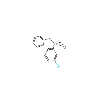 C=C(Cc1ccccc1)c1cccc(F)c1